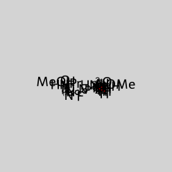 [2H]C([2H])([2H])C([2H])(C([2H])([2H])[2H])[C@@]([2H])(NC(=O)OC)C(=O)N1CCC[C@H]1c1ncc(-c2ccc3nc(-c4ccc(-c5cnc([C@@H]6CCCN6C(=O)[C@@H](NC(=O)OC)C(C)C)[nH]5)cc4F)ccc3c2)[nH]1